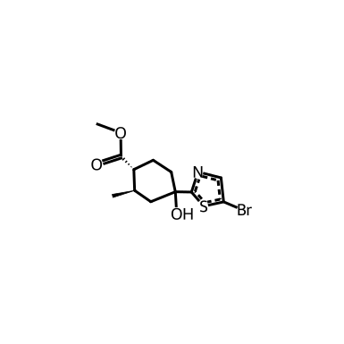 COC(=O)[C@@H]1CCC(O)(c2ncc(Br)s2)C[C@H]1C